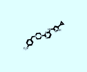 O=[N+]([O-])c1ccc(CN2CCN(c3nccc(Nc4cc(C5CC5)[nH]n4)n3)CC2)cc1